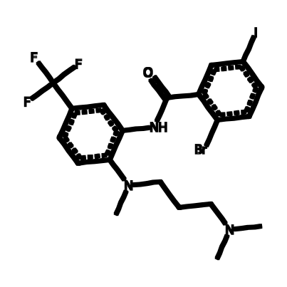 CN(C)CCCN(C)c1ccc(C(F)(F)F)cc1NC(=O)c1cc(I)ccc1Br